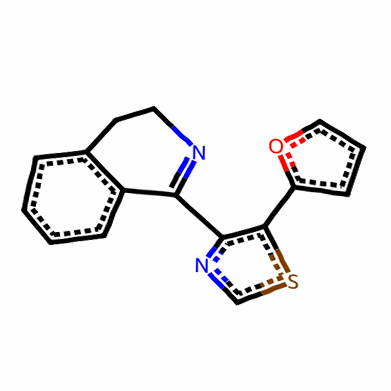 c1coc(-c2scnc2C2=NCCc3ccccc32)c1